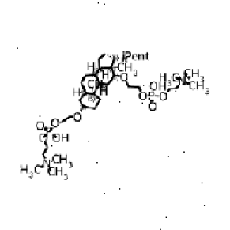 CCC[C@@H](C)[C@H]1CC[C@H]2[C@@H]3CC[C@@H]4C[C@H](OCCOP(=O)(O)OCC[N+](C)(C)C)CC[C@]4(C)[C@H]3C[C@H](OCCOP(=O)(O)OCC[N+](C)(C)C)[C@]12C